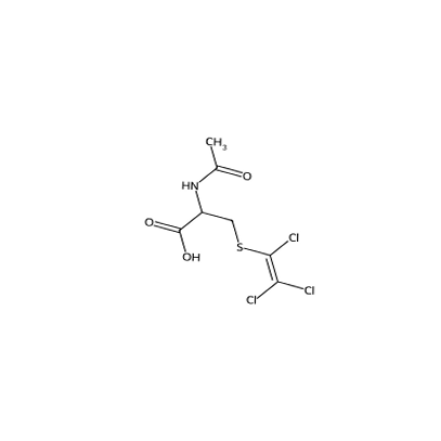 CC(=O)NC(CSC(Cl)=C(Cl)Cl)C(=O)O